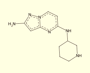 Nc1cc2nc(NC3CCCNC3)ccn2n1